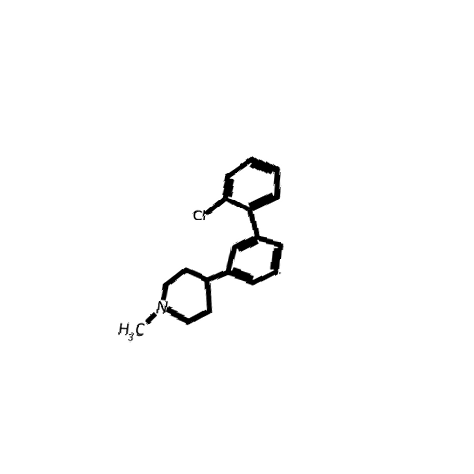 CN1CCC(c2c[c]cc(-c3ccccc3Cl)c2)CC1